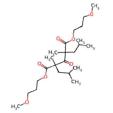 COCCCOC(=O)C(C)(CC(C)C)C(=O)C(C)(CC(C)C)C(=O)OCCCOC